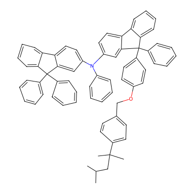 CC(C)CC(C)(C)c1ccc(COc2ccc(C3(c4ccccc4)c4ccccc4-c4ccc(N(c5ccccc5)c5ccc6c(c5)C(c5ccccc5)(c5ccccc5)c5ccccc5-6)cc43)cc2)cc1